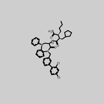 CCCC[C@H](C(N)=O)[C@@H](CC1CCCC1)C(=O)NC1CN(c2ccccc2)c2ccccc2N(Cc2cccc(-c3ccc(Cl)cc3Cl)c2)C1=O